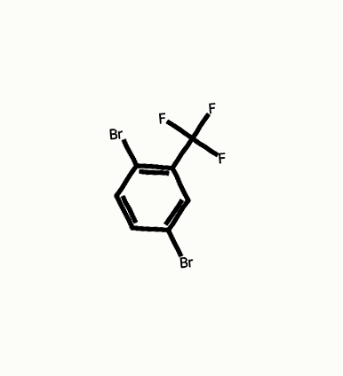 FC(F)(F)c1cc(Br)ccc1Br